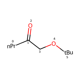 CCCC(=O)COC(C)(C)C